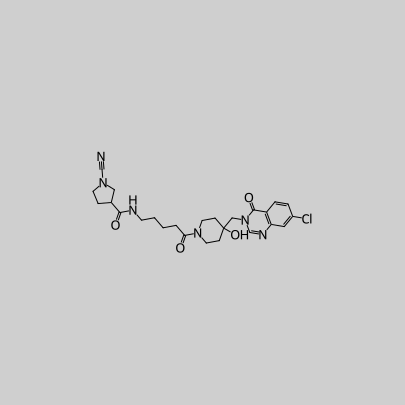 N#CN1CCC(C(=O)NCCCCC(=O)N2CCC(O)(Cn3cnc4cc(Cl)ccc4c3=O)CC2)C1